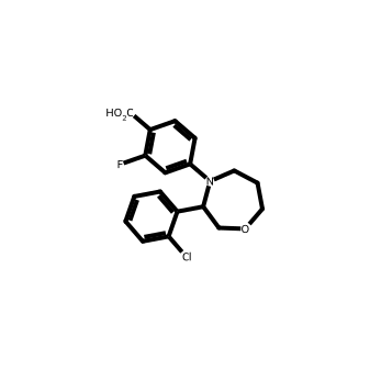 O=C(O)c1ccc(N2CCCOCC2c2ccccc2Cl)cc1F